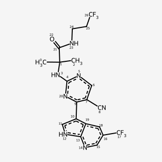 CC(C)(Nc1ncc(C#N)c(-c2c[nH]c3ncc(C(F)(F)F)cc23)n1)C(=O)NCCC(F)(F)F